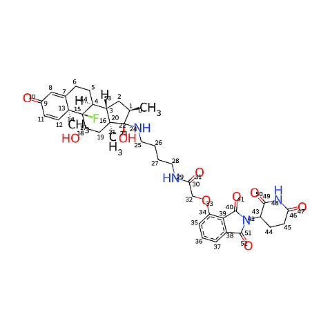 C[C@@H]1C[C@H]2[C@@H]3CCC4=CC(=O)C=C[C@]4(C)[C@@]3(F)[C@@H](O)C[C@]2(C)[C@@]1(O)NCCCCNC(=O)COc1cccc2c1C(=O)N(C1CCC(=O)NC1=O)C2=O